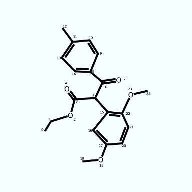 CCOC(=O)C(C(=O)c1ccc(C)cc1)c1cc(OC)ccc1OC